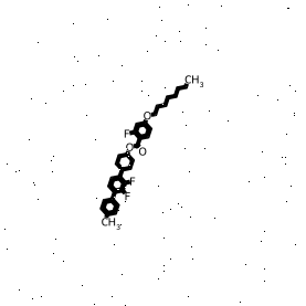 CCCCCCCCOc1ccc(C(=O)OC2CCC(c3ccc(-c4ccc(C)cc4)c(F)c3F)CC2)c(F)c1